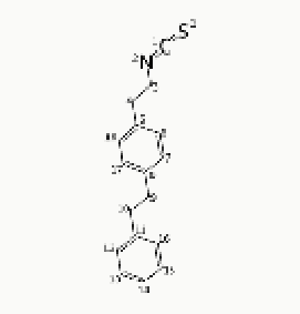 S=C=NCCc1ccc(CCc2ccccc2)cc1